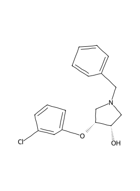 O[C@H]1CN(Cc2ccccc2)C[C@H]1Oc1cccc(Cl)c1